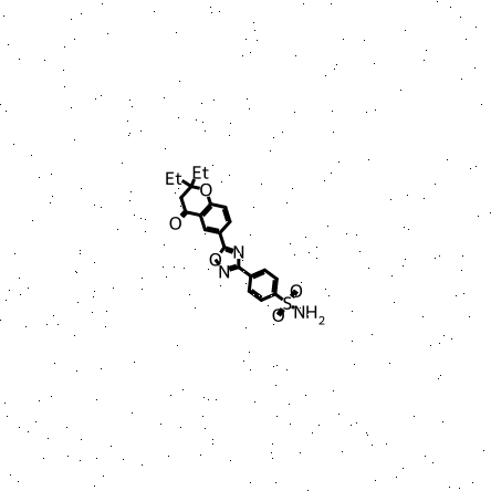 CCC1(CC)CC(=O)c2cc(-c3nc(-c4ccc(S(N)(=O)=O)cc4)no3)ccc2O1